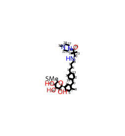 CS[C@H]1O[C@@H](c2ccc(C)c(Cc3ccc(CCCCNCC(C)(C)C(=O)N4CCN(C)CC4)cc3)c2)[C@H](O)[C@@H](O)[C@@H]1O